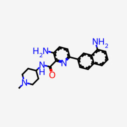 CN1CCC(NC(=O)c2nc(-c3ccc4cccc(N)c4c3)ccc2N)CC1